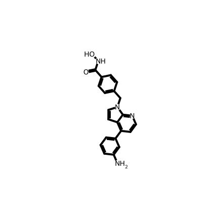 Nc1cccc(-c2ccnc3c2ccn3Cc2ccc(C(=O)NO)cc2)c1